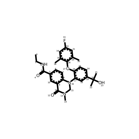 CCNC(=O)c1ccc2c(c1)C(=O)N(C)CN2c1cc(C(C)(C)O)ccc1Oc1c(C)cc(F)cc1C